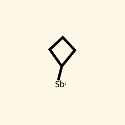 [Sb][CH]1CCC1